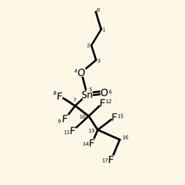 CCCC[O][Sn](=[O])[C](F)(F)C(F)(F)C(F)(F)CF